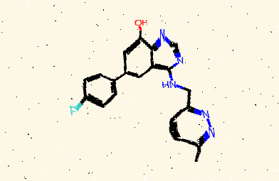 Cc1ccc(CNc2ncnc3c(O)cc(-c4ccc(F)cc4)cc23)nn1